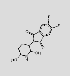 O=C1c2cc(F)c(F)cc2C(=O)N1C1CCC(O)NC1O